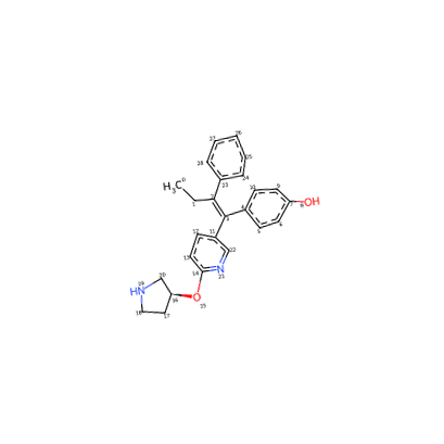 CCC(=C(c1ccc(O)cc1)c1ccc(O[C@H]2CCNC2)nc1)c1ccccc1